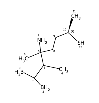 BC(B)C(C)C(C)(N)CC[C@@H](C)S